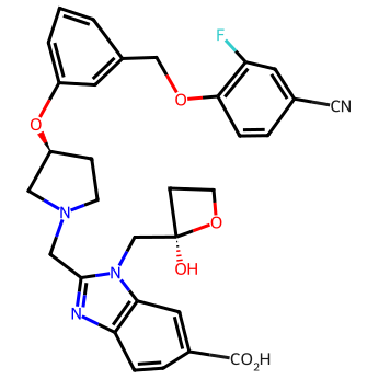 N#Cc1ccc(OCc2cccc(O[C@H]3CCN(Cc4nc5ccc(C(=O)O)cc5n4C[C@@]4(O)CCO4)C3)c2)c(F)c1